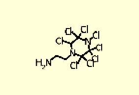 NCCN1C(Cl)C(Cl)(Cl)N(Cl)C(Cl)(Cl)C1(Cl)Cl